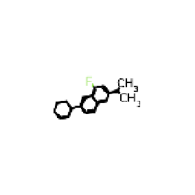 CC(C)c1cc(F)c2cc(C3CCCCC3)ccc2c1